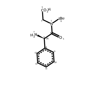 CC(C)(C)N(CC(=O)O)C(=O)[C@H](N)c1ccccc1